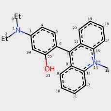 CCN(CC)c1ccc(-c2c3ccccc3[n+](C)c3ccccc23)c(O)c1